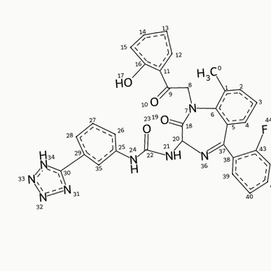 Cc1cccc2c1N(CC(=O)c1ccccc1O)C(=O)C(NC(=O)Nc1cccc(-c3nnn[nH]3)c1)N=C2c1ccccc1F